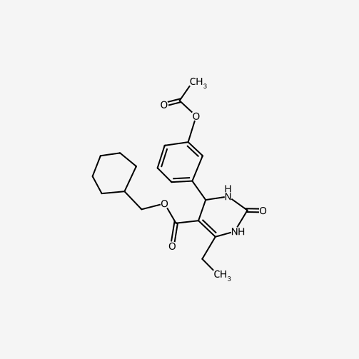 CCC1=C(C(=O)OCC2CCCCC2)C(c2cccc(OC(C)=O)c2)NC(=O)N1